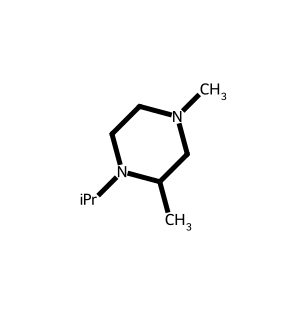 CC(C)N1CCN(C)CC1C